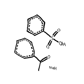 CC(=O)c1ccccc1.O=S(=O)(O)c1ccccc1.[NaH]